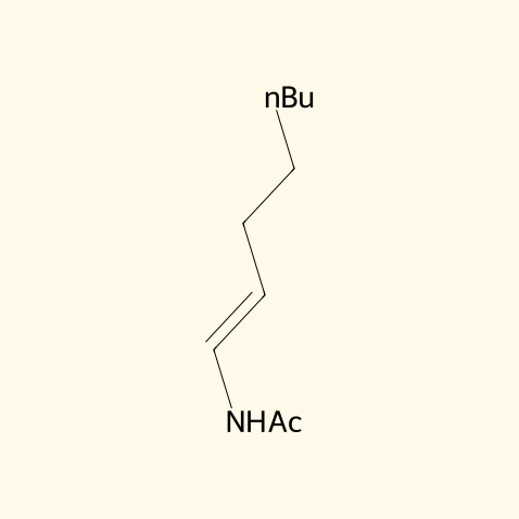 CCCCCCC=CNC(C)=O